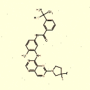 Cc1ccc(NC(=O)c2cccc(C(C)(C)N)c2)cc1Nc1ncnc2cnc(N3CCC(F)(F)C3)nc12